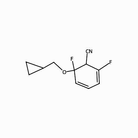 N#CC1C(F)=CC=CC1(F)OCC1CC1